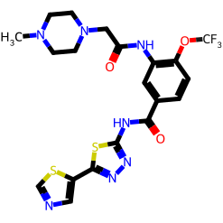 CN1CCN(CC(=O)Nc2cc(C(=O)Nc3nnc(-c4cncs4)s3)ccc2OC(F)(F)F)CC1